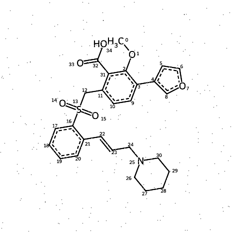 COc1c(-c2ccoc2)ccc(CS(=O)(=O)c2ccccc2C=CCN2CCCCC2)c1C(=O)O